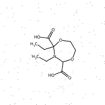 CCN1C(C(=O)O)OCCOC1(CC)C(=O)O